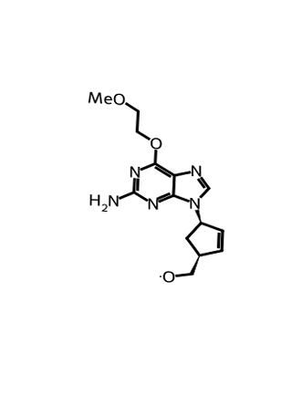 COCCOc1nc(N)nc2c1ncn2[C@H]1C=C[C@@H](C[O])C1